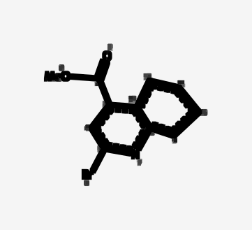 COC(=O)c1cc(Br)nc2ccccc12